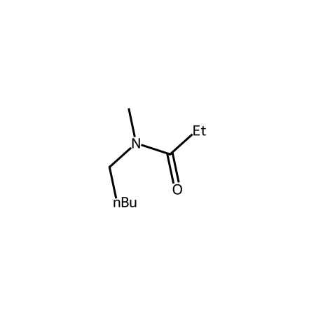 CCCCCN(C)C(=O)CC